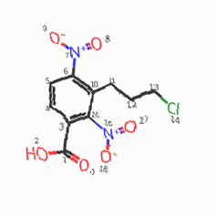 O=C(O)c1ccc([N+](=O)[O-])c(CCCCl)c1[N+](=O)[O-]